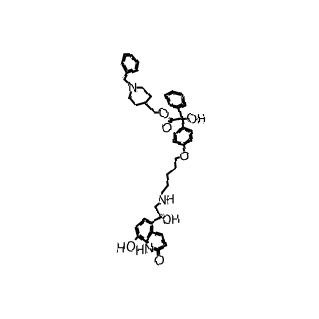 O=C(OCC1CCN(Cc2ccccc2)CC1)C(O)(c1ccccc1)c1ccc(OCCCCCNC[C@H](O)c2ccc(O)c3[nH]c(=O)ccc23)cc1